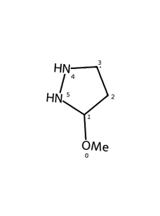 COC1C[CH]NN1